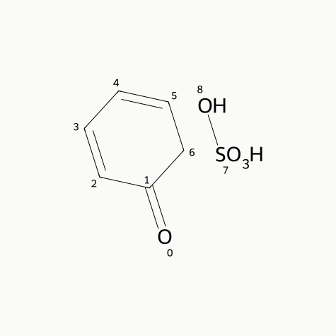 O=C1C=CC=CC1.O=S(=O)(O)O